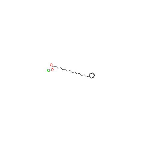 O=C(CCCCCCCCCCCCCCc1ccccc1)OCl